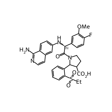 CCS(=O)(=O)c1ccccc1C1C(C(=O)O)CCN1C(=O)[C@@H](Nc1ccc2c(N)nccc2c1)c1ccc(F)c(OC)c1